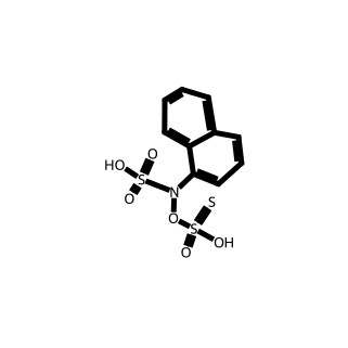 O=S(=O)(O)N(OS(=O)(O)=S)c1cccc2ccccc12